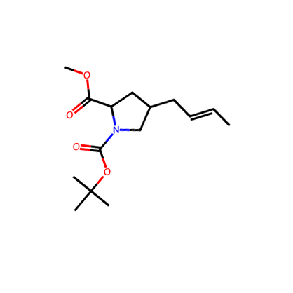 C/C=C/CC1CC(C(=O)OC)N(C(=O)OC(C)(C)C)C1